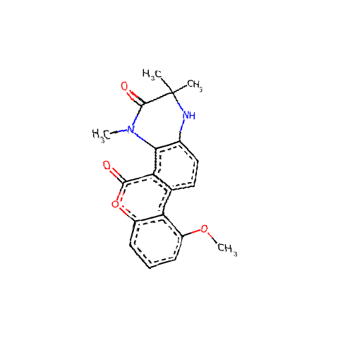 COc1cccc2oc(=O)c3c4c(ccc3c12)NC(C)(C)C(=O)N4C